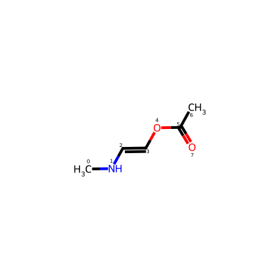 CN/C=C/OC(C)=O